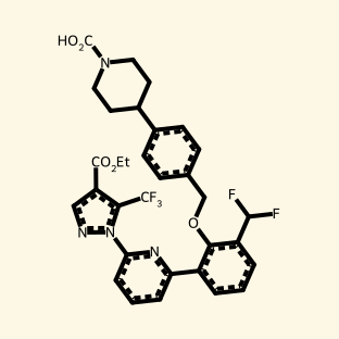 CCOC(=O)c1cnn(-c2cccc(-c3cccc(C(F)F)c3OCc3ccc(C4CCN(C(=O)O)CC4)cc3)n2)c1C(F)(F)F